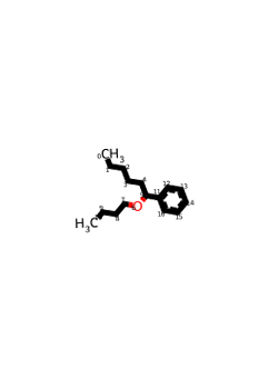 CCCCCC(OCCCC)c1ccccc1